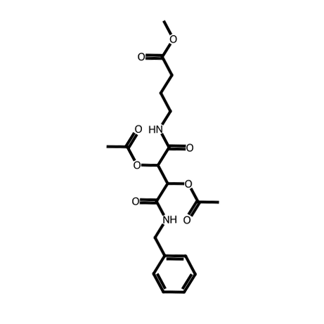 COC(=O)CCCNC(=O)C(OC(C)=O)C(OC(C)=O)C(=O)NCc1ccccc1